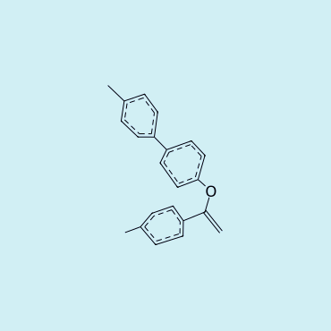 C=C(Oc1ccc(-c2ccc(C)cc2)cc1)c1ccc(C)cc1